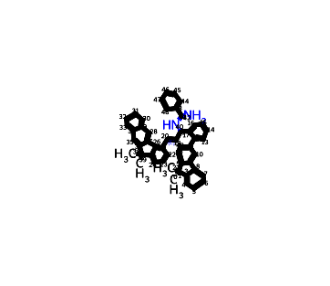 CC1(C)c2ccccc2-c2cc(-c3ccccc3C(/C=C/c3cccc4c3-c3cc5ccccc5cc3C4(C)C)NC(N)c3ccccc3)ccc21